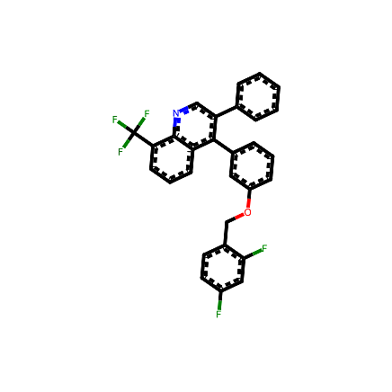 Fc1ccc(COc2cccc(-c3c(-c4ccccc4)cnc4c(C(F)(F)F)cccc34)c2)c(F)c1